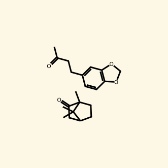 CC(=O)CCc1ccc2c(c1)OCO2.CC12CCC(CC1=O)C2(C)C